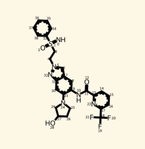 N=S(=O)(CCn1cc2cc(NC(=O)c3cccc(C(F)(F)F)n3)c(N3CCC(O)C3)cc2n1)c1ccccc1